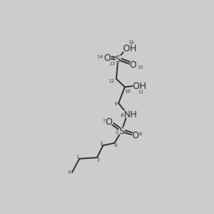 CCCCCS(=O)(=O)NCC(O)CS(=O)(=O)O